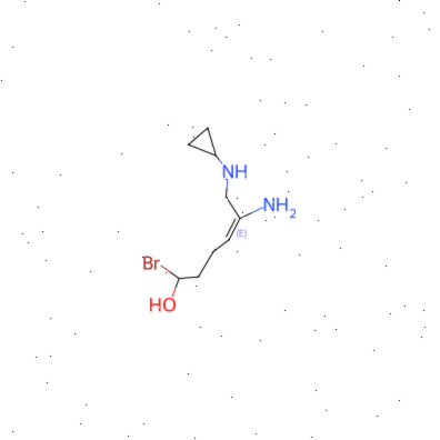 N/C(=C/CCC(O)Br)CNC1CC1